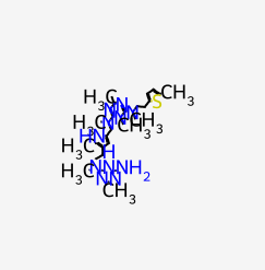 Cc1ccc(CCN(C)C2=NC(C)N=C(N(C)Cc3cc(CCN(C)C4=NC(C)N=C(N)N4)c(C)[nH]3)N2C)s1